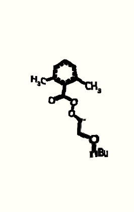 CCCCOC[CH]OOC(=O)c1c(C)cccc1C